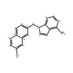 Nc1ncnc2c1ccn2Cc1ccc2ncc(Cl)cc2c1